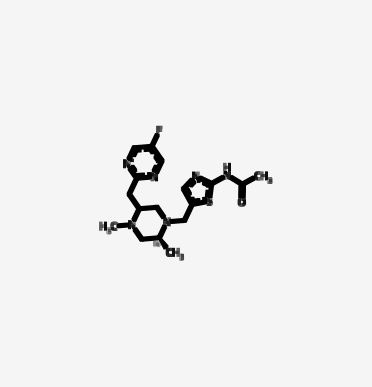 CC(=O)Nc1ncc(CN2CC(Cc3ncc(F)cn3)N(C)C[C@@H]2C)s1